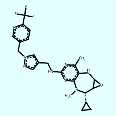 Cc1nc(NCc2cnn(Cc3ccc(C(F)(F)F)nc3)c2)nc2c1NC1OC1[C@H](C1CC1)N2C